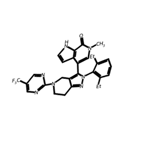 CCc1cccc(CC)c1-n1nc2c(c1-c1cn(C)c(=O)c3[nH]ccc13)CN(c1ncc(C(F)(F)F)cn1)CC2